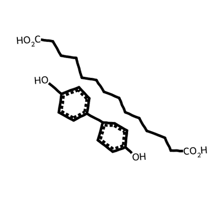 O=C(O)CCCCCCCCCCCCC(=O)O.Oc1ccc(-c2ccc(O)cc2)cc1